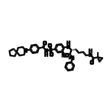 CC1(C(=O)NCCCC[C@H](CSc2ccccc2)Nc2ccc(S(=O)(=O)NC(=O)c3ccc(N4CCC5(CCCC5)CC4)cc3)cc2[N+](=O)[O-])CC1